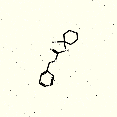 CCCCC1(NC(=O)OCc2ccccc2)CCCCC1